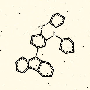 c1ccc(Nc2ccc(-n3c4ccccc4c4ccccc43)cc2Nc2ccccc2)cc1